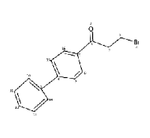 O=C(CCBr)c1ccc(-c2ccccc2)cc1